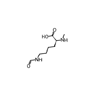 CN[C@@H](CCCCNC=O)C(=O)O